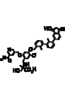 Cc1c(COc2cc(OCc3cncc(C(N)=O)c3)c(CN[C@@](C)(CO)C(=O)O)cc2Cl)cccc1-c1cccc(-c2ccc3c(c2)[C@@H](O)C[C@H]3N)c1C